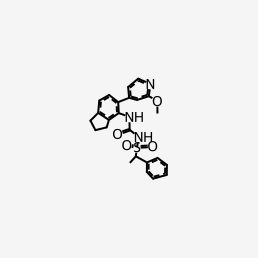 COc1cc(-c2ccc3c(c2NC(=O)NS(=O)(=O)C(C)c2ccccc2)CCC3)ccn1